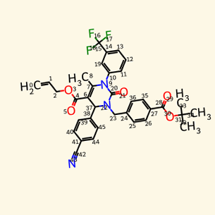 C=CCOC(=O)C1=C(C)N(c2cccc(C(F)(F)F)c2)C(=O)N(Cc2ccc(C(=O)OC(C)(C)C)cc2)C1c1ccc(C#N)cc1